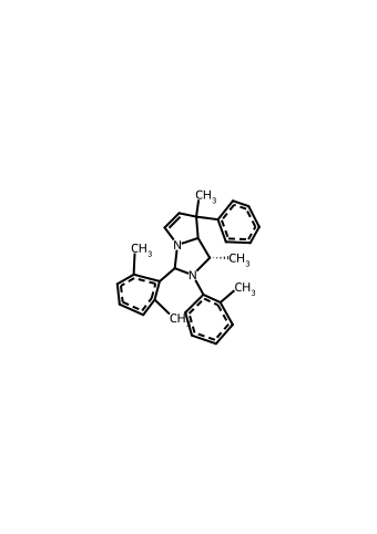 Cc1ccccc1N1C(c2c(C)cccc2C)N2C=CC(C)(c3ccccc3)C2[C@@H]1C